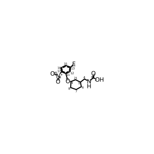 O=C(O)NCC1CCCC(Oc2cc(F)ccc2[N+](=O)[O-])C1